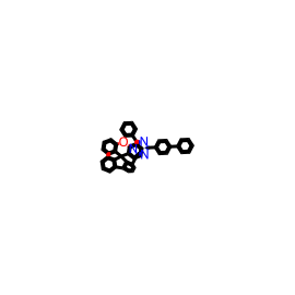 c1ccc(-c2ccc(-c3nc(-c4ccccc4)nc(-c4cccc5c4C4(c6ccccc6Oc6ccccc64)c4ccccc4-5)n3)cc2)cc1